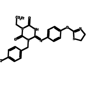 CCOC(=O)Cn1c(=O)[nH]/c(=N\c2ccc(OC3=NCCS3)cc2)n(Cc2ccc(Cl)cc2)c1=O